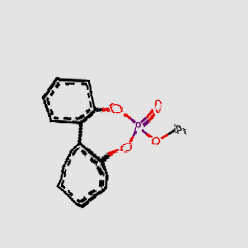 CC(C)OP1(=O)Oc2ccccc2-c2ccccc2O1